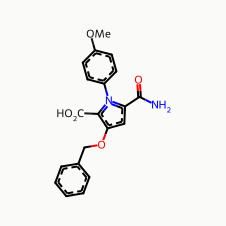 COc1ccc(-n2c(C(N)=O)cc(OCc3ccccc3)c2C(=O)O)cc1